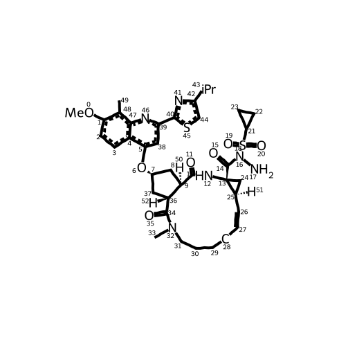 COc1ccc2c(O[C@@H]3C[C@H]4C(=O)N[C@]5(C(=O)N(N)S(=O)(=O)C6CC6)C[C@H]5/C=C\CCCCN(C)C(=O)[C@@H]4C3)cc(-c3nc(C(C)C)cs3)nc2c1C